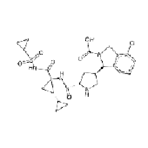 O=C(N[C@]1(C(=O)NS(=O)(=O)C2CC2)C[C@H]1C1CC1)[C@@H]1C[C@@H](C2c3cccc(Cl)c3CN2C(=O)O)CN1